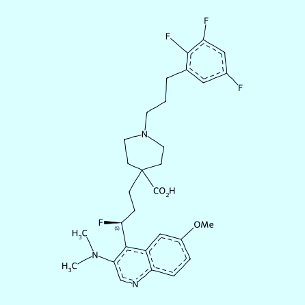 COc1ccc2ncc(N(C)C)c([C@@H](F)CCC3(C(=O)O)CCN(CCCc4cc(F)cc(F)c4F)CC3)c2c1